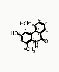 Cc1cc(O)cc2c1[nH]c(=O)c1ccccc12.Cl